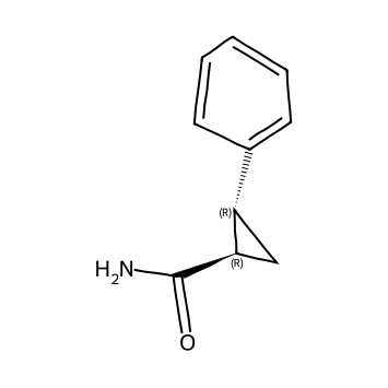 NC(=O)[C@@H]1C[C@H]1c1ccccc1